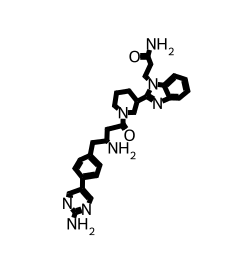 NC(=O)CCn1c(C2CCCN(C(=O)CC(N)Cc3ccc(-c4cnc(N)nc4)cc3)C2)nc2ccccc21